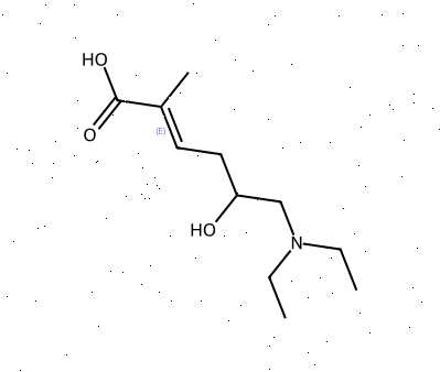 CCN(CC)CC(O)C/C=C(\C)C(=O)O